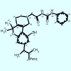 CCCCCC(C)C(C)c1cc(O)c2c(c1)OC(C)(C)C1=C2CN(CC(=O)NC(=O)Nc2ccccc2)CC1